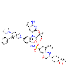 CC(C)c1ccccc1[C@@H]1CCCN1C1CC2(C1)CN(c1ccc(C(=O)NS(=O)(=O)c3cc4c(c([N+](=O)[O-])c3)N[C@H](C3CCC(C)(O)CC3)CO4)c(N3c4cc5cc[nH]c5nc4O[C@@H]4COC[C@H]43)c1)C2